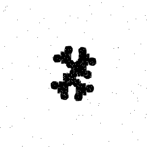 N#Cc1cc(-n2c3ccc(-c4nc(-c5ccccc5)nc(-c5ccccc5)n4)cc3c3cc(-c4nc(-c5ccccc5)nc(-c5ccccc5)n4)ccc32)c(-c2nc(-c3ccccc3)nc(-c3ccccc3)n2)cc1-n1c2ccc(-c3nc(-c4ccccc4)nc(-c4ccccc4)n3)cc2c2cc(-c3nc(-c4ccccc4)nc(-c4ccccc4)n3)ccc21